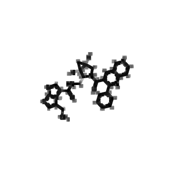 CCc1csc2ncc(C(=O)NC[C@@H]3[C@H]4C[C@H]4CN3C(=O)c3cc4cnccc4nc3-c3ccccc3)n12